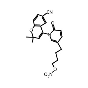 CC1(C)C=C(n2cc(CCCCO[N+](=O)[O-])ccc2=O)c2cc(C#N)ccc2O1